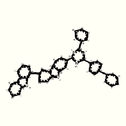 c1ccc(-c2ccc(-c3nc(-c4ccccc4)nc(-c4ccc5c(c4)oc4ccc(-c6cccc7c6oc6ccccc67)cc45)n3)cc2)cc1